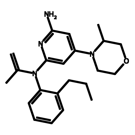 C=C(C)N(c1cc(N2CCOCC2C)cc(N)n1)c1ccccc1CCC